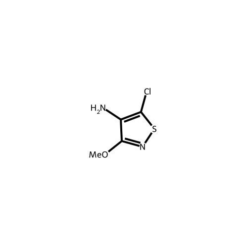 COc1nsc(Cl)c1N